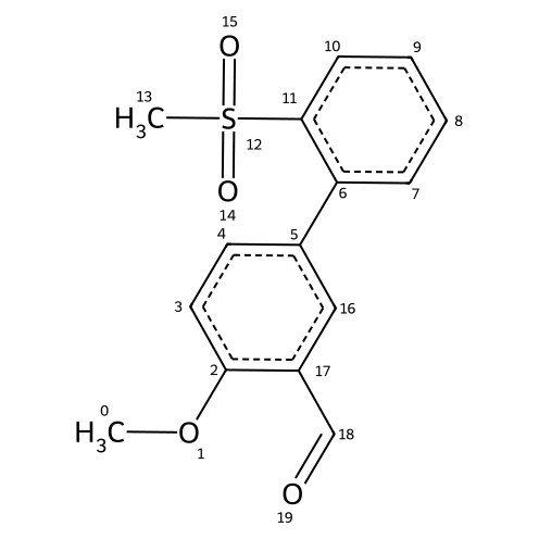 COc1ccc(-c2ccccc2S(C)(=O)=O)cc1C=O